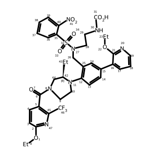 CCOc1ccc(C(=O)N2CCN(c3ccc(-c4cccnc4OCC)cc3CN(CCNC(=O)O)S(=O)(=O)c3ccccc3[N+](=O)[O-])[C@H](CC)C2)c(C(F)(F)F)n1